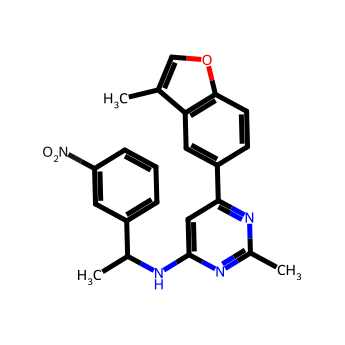 Cc1nc(NC(C)c2cccc([N+](=O)[O-])c2)cc(-c2ccc3occ(C)c3c2)n1